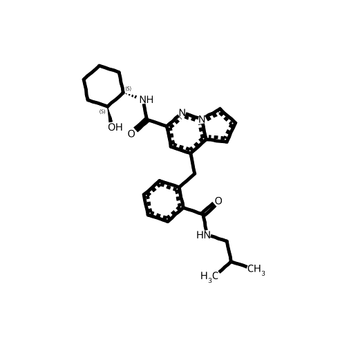 CC(C)CNC(=O)c1ccccc1Cc1cc(C(=O)N[C@H]2CCCC[C@@H]2O)nn2cccc12